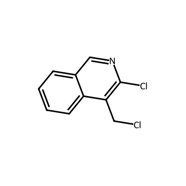 ClCc1c(Cl)ncc2ccccc12